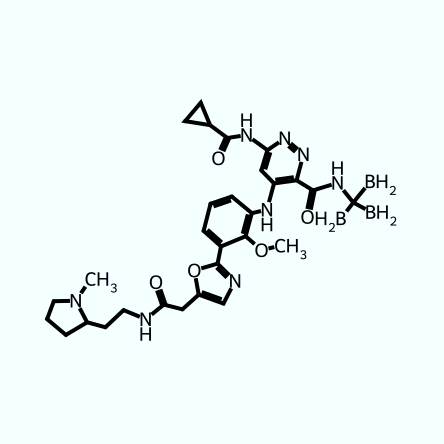 BC(B)(B)NC(=O)c1nnc(NC(=O)C2CC2)cc1Nc1cccc(-c2ncc(CC(=O)NCCC3CCCN3C)o2)c1OC